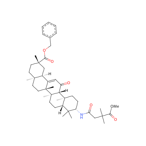 COC(=O)C(C)(C)CC(=O)N[C@H]1CC[C@]2(C)[C@H]3C(=O)C=C4[C@@H]5C[C@@](C)(C(=O)OCc6ccccc6)CC[C@]5(C)CC[C@@]4(C)[C@]3(C)CC[C@H]2C1(C)C